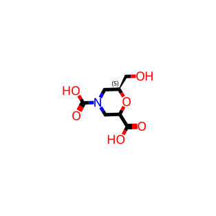 O=C(O)C1CN(C(=O)O)C[C@@H](CO)O1